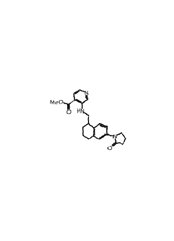 COC(=O)c1ccncc1NCC1CCCc2cc(N3CCCC3=O)ccc21